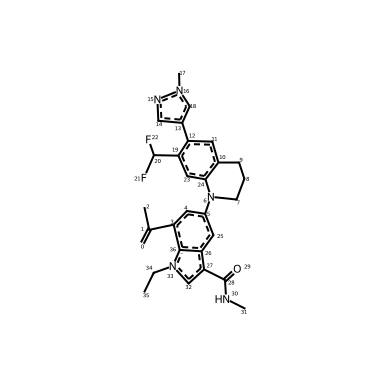 C=C(C)c1cc(N2CCCc3cc(-c4cnn(C)c4)c(C(F)F)cc32)cc2c(C(=O)NC)cn(CC)c12